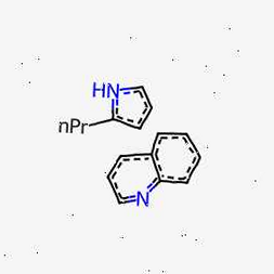 CCCc1ccc[nH]1.c1ccc2ncccc2c1